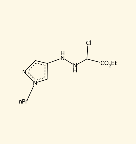 CCCn1cc(NNC(Cl)C(=O)OCC)cn1